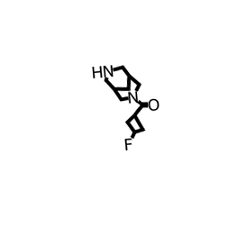 O=C(C1CC(F)C1)N1CC2CNCC(C2)C1